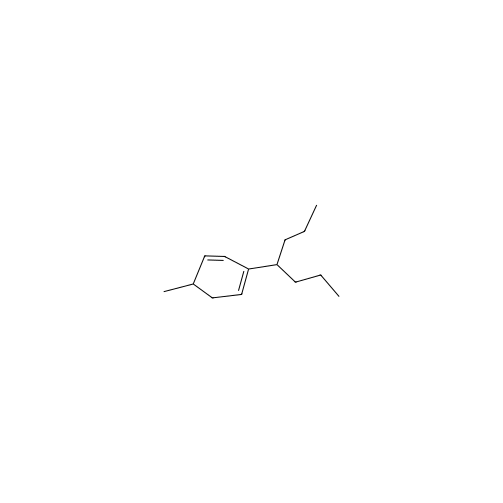 CCCC(CCC)C1=CCC(C)C=C1